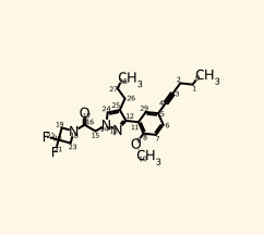 CCCC#Cc1ccc(OC)c(-c2nn(CC(=O)N3CC(F)(F)C3)cc2CCC)c1